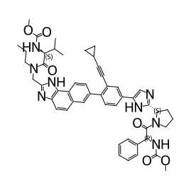 CCCN(Cc1nc2ccc3cc(-c4ccc(-c5cnc([C@@H]6CCCN6C(=O)[C@H](NC(=O)OC)c6ccccc6)[nH]5)cc4C#CC4CC4)ccc3c2[nH]1)C(=O)[C@@H](NC(=O)OC)C(C)C